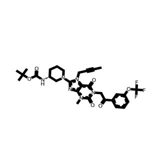 CC#CCn1c(N2CCC[C@@H](NC(=O)OC(C)(C)C)C2)nc2c1c(=O)n(CC(=O)c1cccc(OC(F)(F)F)c1)c(=O)n2C